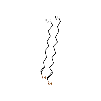 CCCCCCCCCC=CS.CCCCCCCCCCCC=CS